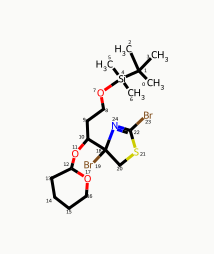 CC(C)(C)[Si](C)(C)OCCC(OC1CCCCO1)C1(Br)CSC(Br)=N1